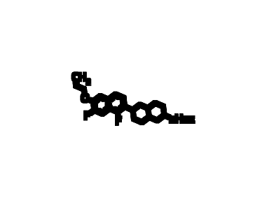 C=CCOc1cc2ccc(C3CCC4CC(CCCCCC)CCC4C3)c(F)c2cc1F